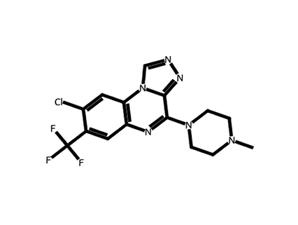 CN1CCN(c2nc3cc(C(F)(F)F)c(Cl)cc3n3cnnc23)CC1